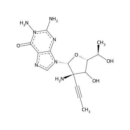 CC#C[C@@]1(N)C(O)[C@@H]([C@@H](C)O)O[C@H]1n1cnc2c(=O)n(N)c(N)nc21